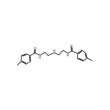 Cc1ccc(C(=O)NCCNCCNC(=O)c2ccc(C)cc2)cc1